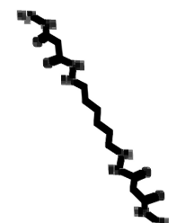 NNC(=O)CC(=O)NNCCCCCCNNC(=O)CC(=O)NN